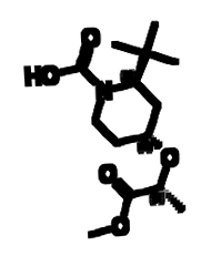 COC(=O)[C@@H](C)O[C@@H]1CCN(C(=O)O)[C@@H](C(C)(C)C)C1